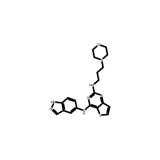 c1cc2nc(NCCCN3CCOCC3)nc(Nc3ccc4[nH]ncc4c3)c2s1